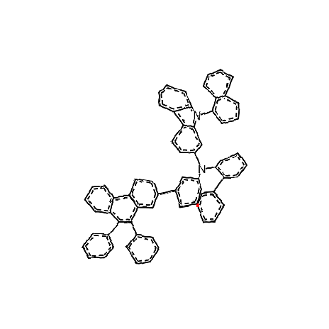 c1ccc(-c2ccccc2N(c2cccc(-c3ccc4c(c3)c(-c3ccccc3)c(-c3ccccc3)c3ccccc34)c2)c2ccc3c4ccccc4n(-c4cccc5ccccc45)c3c2)cc1